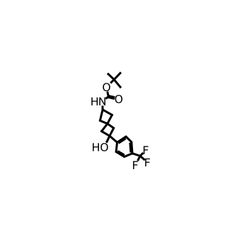 CC(C)(C)OC(=O)NC1CC2(C1)CC(O)(c1ccc(C(F)(F)F)cc1)C2